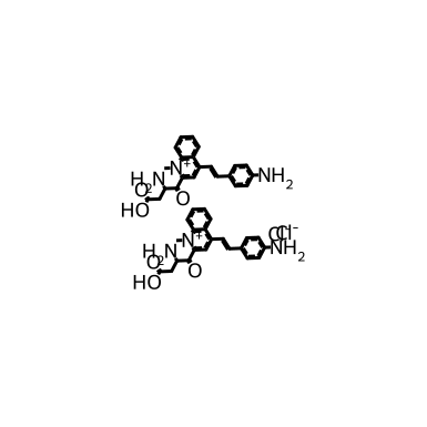 C[n+]1c(C(=O)C(N)CC(=O)O)cc(C=Cc2ccc(N)cc2)c2ccccc21.C[n+]1c(C(=O)C(N)CC(=O)O)cc(C=Cc2ccc(N)cc2)c2ccccc21.[Cl-].[Cl-]